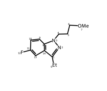 CCc1nn(CCCOC)c2ccc(F)cc12